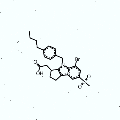 CCCCc1ccc(Cn2c3c(c4cc(S(C)(=O)=O)cc(Br)c42)CCC3CC(=O)O)cc1